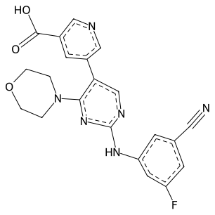 N#Cc1cc(F)cc(Nc2ncc(-c3cncc(C(=O)O)c3)c(N3CCOCC3)n2)c1